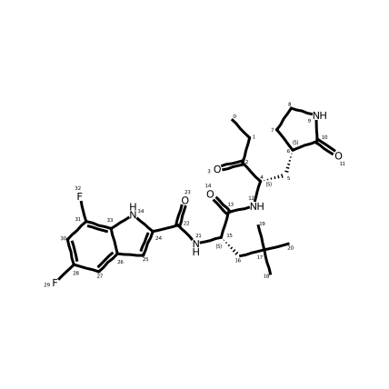 CCC(=O)[C@H](C[C@@H]1CCNC1=O)NC(=O)[C@H](CC(C)(C)C)NC(=O)c1cc2cc(F)cc(F)c2[nH]1